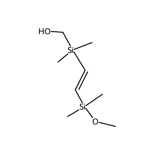 CO[Si](C)(C)C=C[Si](C)(C)CO